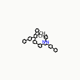 CC1(C)c2ccccc2-c2cc(-c3ccc(-c4ccccc4)cc3)c(-c3cccc(-c4cccc(-c5cc(-c6ccc(-c7ccccc7)cc6)nc(-c6ccccc6)n5)c4)c3)cc21